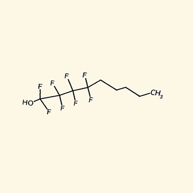 CCCCCC(F)(F)C(F)(F)C(F)(F)C(O)(F)F